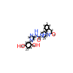 O=C1Cc2ccccc2C2(CCN(C(=O)Nc3cn(-c4cc(O)ccc4O)cn3)CC2)N1